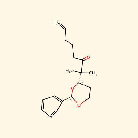 C=CCCCC(=O)C(C)(C)[C@@H]1CCO[C@H](c2ccccc2)O1